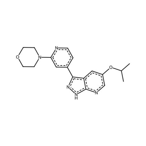 CC(C)Oc1cnc2[nH]nc(-c3ccnc(N4CCOCC4)c3)c2c1